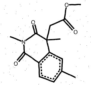 COC(=O)CC1(C)C(=O)N(C)C(=O)c2ccc(C)cc21